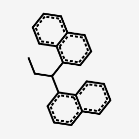 CC[C](c1cccc2ccccc12)c1cccc2ccccc12